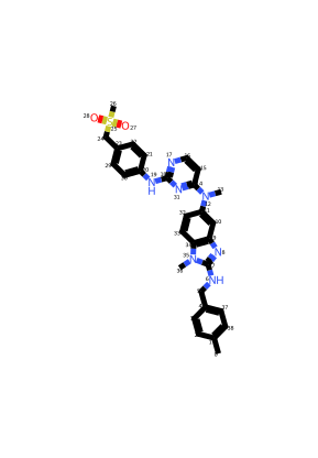 Cc1ccc(CNc2nc3cc(N(C)c4ccnc(Nc5ccc(CS(C)(=O)=O)cc5)n4)ccc3n2C)cc1